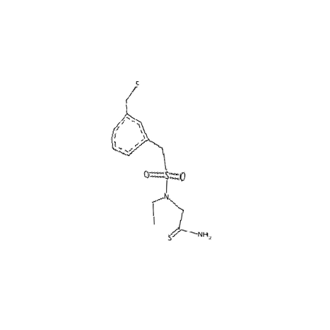 CCN(CC(N)=S)S(=O)(=O)Cc1cccc(CF)c1